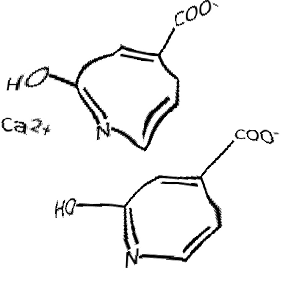 O=C([O-])c1ccnc(O)c1.O=C([O-])c1ccnc(O)c1.[Ca+2]